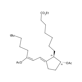 CCOC(=O)CCCCCC[C@@H]1C(=CC=C(CCCC(C)(C)C)OC(C)=O)CC[C@H]1OC(C)=O